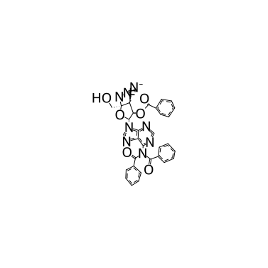 [N-]=[N+]=N[C@]1(CO)O[C@@H](n2cnc3c(N(C(=O)c4ccccc4)C(=O)c4ccccc4)ncnc32)[C@H](OC(=O)c2ccccc2)[C@@H]1F